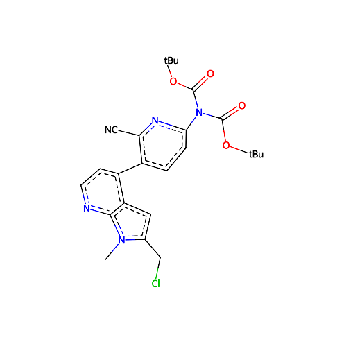 Cn1c(CCl)cc2c(-c3ccc(N(C(=O)OC(C)(C)C)C(=O)OC(C)(C)C)nc3C#N)ccnc21